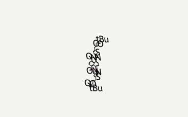 CC(C)(C)C(=O)OCCc1cc2c(nc3c4ccc5c6c(ccc(c(=O)n23)c46)c(=O)n2c3cc(CCOC(=O)C(C)(C)C)sc3nc52)s1